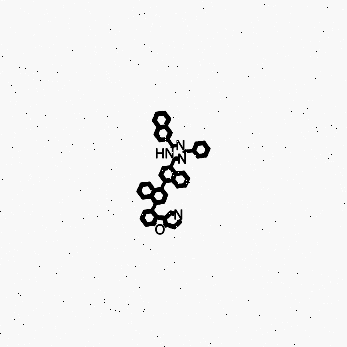 c1ccc(C2=NC(c3ccc4ccccc4c3)NC(c3ccc(-c4ccc(-c5cccc6oc7ccncc7c56)c5ccccc45)c4ccccc34)=N2)cc1